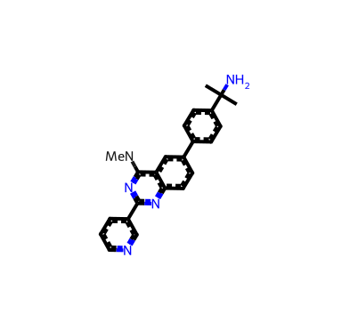 CNc1nc(-c2cccnc2)nc2ccc(-c3ccc(C(C)(C)N)cc3)cc12